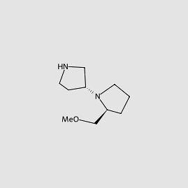 COC[C@@H]1CCCN1[C@@H]1CCNC1